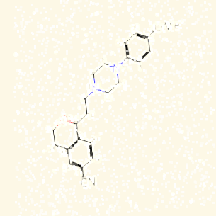 COc1ccc(N2CCN(CCC3OCCc4cc(C#N)ccc43)CC2)cc1